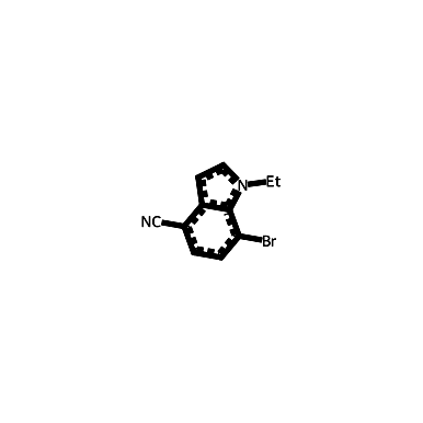 CCn1ccc2c(C#N)ccc(Br)c21